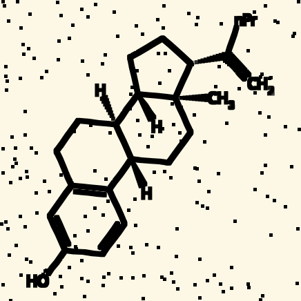 C=C(CCC)[C@H]1CC[C@H]2[C@@H]3CCc4cc(O)ccc4[C@H]3CC[C@]12C